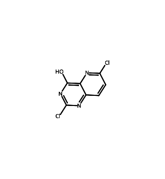 Oc1nc(Cl)nc2ccc(Cl)nc12